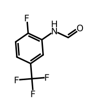 O=CNc1cc(C(F)(F)F)ccc1F